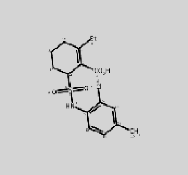 CCC1=C(C(=O)O)C(S(=O)(=O)Nc2ccc(C)cc2Cl)CCC1